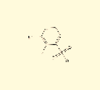 Cc1c(Br)cccc1S(=O)(=O)O